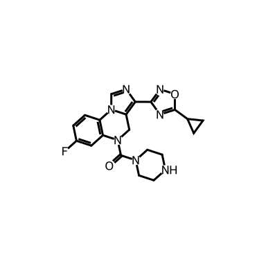 O=C(N1CCNCC1)N1Cc2c(-c3noc(C4CC4)n3)ncn2-c2ccc(F)cc21